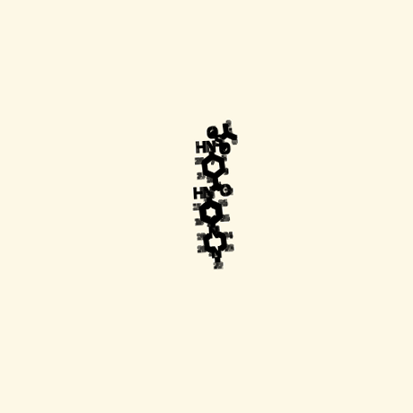 CC(C)S(=O)(=O)NC1CCC(C(=O)Nc2ccc(N3CCN(C)CC3)cc2)CC1